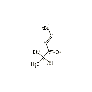 CCC(C)(CC)C(=O)/C=C/C(C)(C)C